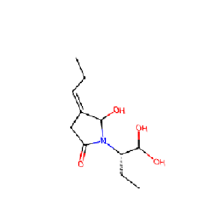 CC/C=C1/CC(=O)N([C@@H](CC)C(O)O)C1O